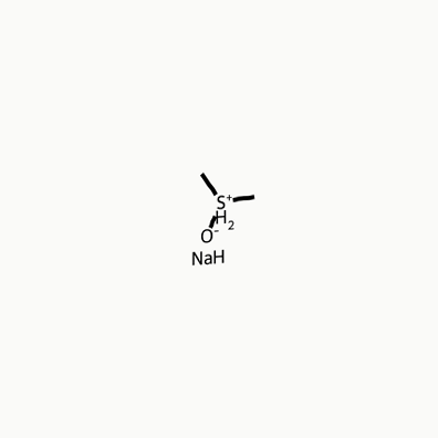 C[SH2+](C)[O-].[NaH]